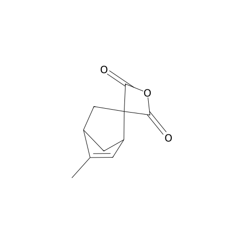 CC1=CC2CC1CC21C(=O)OC1=O